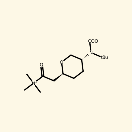 CC(C)(C)N(C(=O)[O-])[C@@H]1CC[C@@H](CC(=O)[N+](C)(C)C)OC1